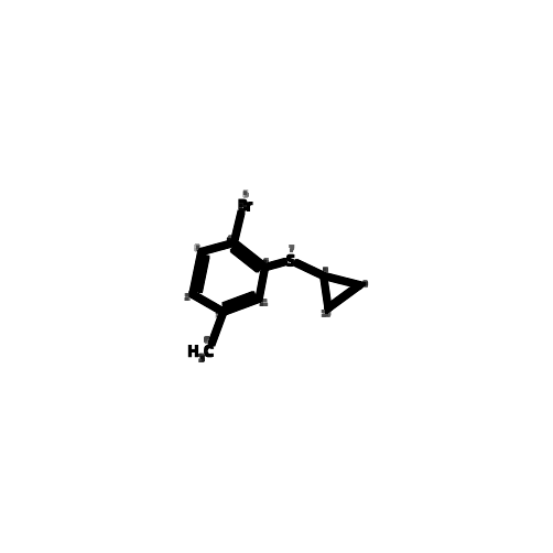 Cc1ccc(Br)c(SC2CC2)c1